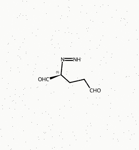 N=N[C@H](C=O)CCC=O